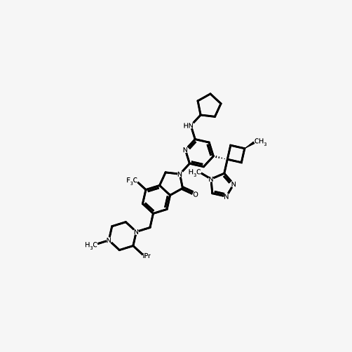 CC(C)C1CN(C)CCN1Cc1cc2c(c(C(F)(F)F)c1)CN(c1cc([C@]3(c4nncn4C)C[C@@H](C)C3)cc(NC3CCCC3)n1)C2=O